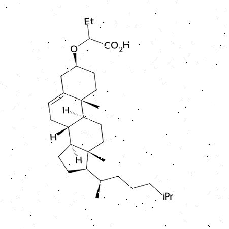 CCC(O[C@H]1CC[C@@]2(C)C(=CC[C@H]3[C@@H]4CC[C@H]([C@H](C)CCCC(C)C)[C@@]4(C)CC[C@@H]32)C1)C(=O)O